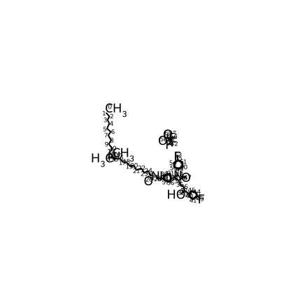 CCCCCCCCCCCC[N+](C)(C)CCCCCCCCCCC(=O)NCc1ccc(C2C(CCC(O)c3ccc(F)cc3)C(=O)N2c2ccc(F)cc2)cc1.O=C([O-])C(F)(F)F